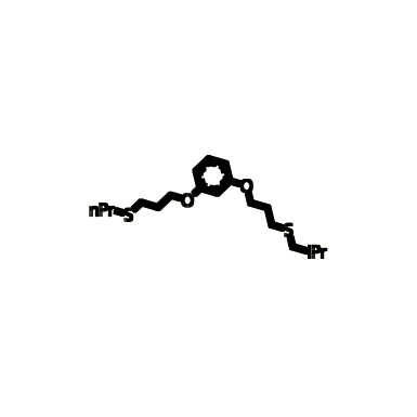 CCCSCCCOc1cccc(OCCCSCC(C)C)c1